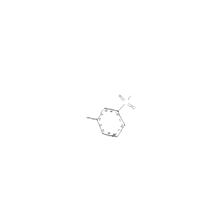 O=S(=O)([O-])c1cccc(O)c1.[Li+]